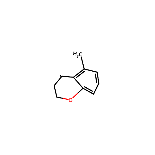 Cc1cccc2c1[C]CCO2